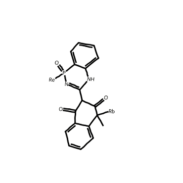 C[C]1([Rb])C(=O)C(C2=N[P](=O)([Re])c3ccccc3N2)C(=O)c2ccccc21